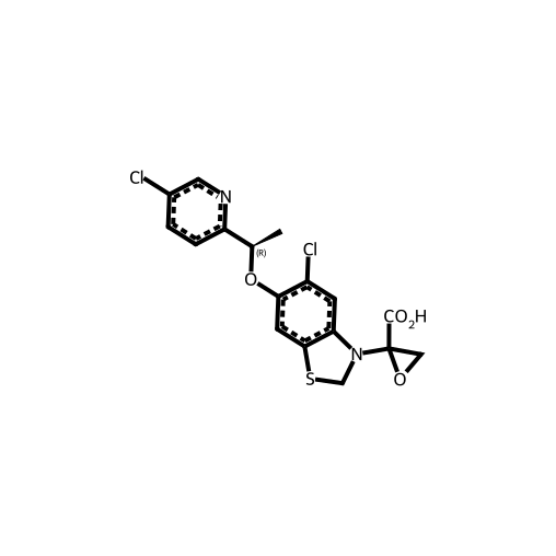 C[C@@H](Oc1cc2c(cc1Cl)N(C1(C(=O)O)CO1)CS2)c1ccc(Cl)cn1